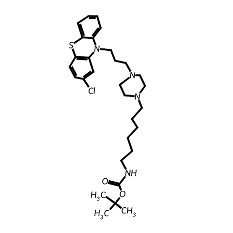 CC(C)(C)OC(=O)NCCCCCCN1CCN(CCCN2c3ccccc3Sc3ccc(Cl)cc32)CC1